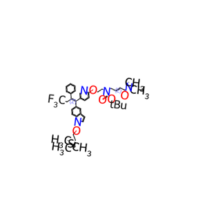 CN(C)C(=O)/C=C/CN(CCOc1ccc(/C(=C(/CC(F)(F)F)c2ccccc2)c2ccc3c(ccn3COCC[Si](C)(C)C)c2)cn1)C(=O)OC(C)(C)C